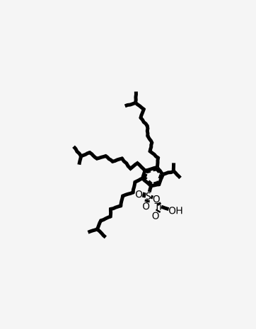 CC(C)CCCCCCCc1c(C(C)C)cc(S(=O)(=O)[O][Ti](=[O])[OH])c(CCCCCCCC(C)C)c1CCCCCCCC(C)C